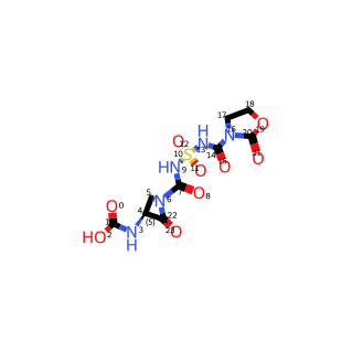 O=C(O)N[C@H]1CN(C(=O)NS(=O)(=O)NC(=O)N2CCOC2=O)C1=O